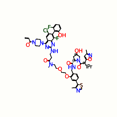 C=CC(=O)N1CCN(c2nc(NCCC(=O)N(C)CCOCCOc3cc(-c4scnc4C)ccc3CNC(=O)[C@@H]3C[C@@H](O)CN3C(=O)[C@@H](c3cc(C)no3)C(C)C)nc3c(F)c(-c4c(O)cccc4F)c(Cl)cc23)CC1